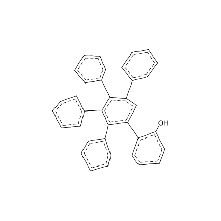 Oc1ccccc1-c1cc(-c2ccccc2)c(-c2ccccc2)c(-c2ccccc2)c1-c1ccccc1